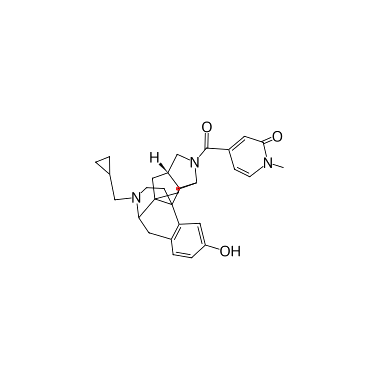 Cn1ccc(C(=O)N2C[C@H]3CC45CCC2C3C42CCN(CC3CC3)C5Cc3ccc(O)cc32)cc1=O